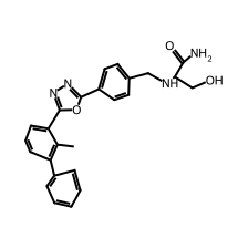 Cc1c(-c2ccccc2)cccc1-c1nnc(-c2ccc(CNC(CO)C(N)=O)cc2)o1